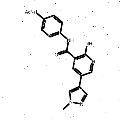 CC(=O)Nc1ccc(NC(=O)c2cc(-c3cnn(C)c3)cnc2N)cc1